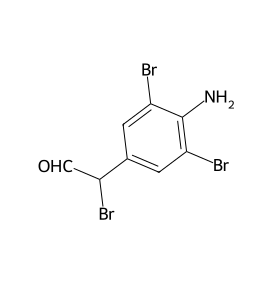 Nc1c(Br)cc(C(Br)C=O)cc1Br